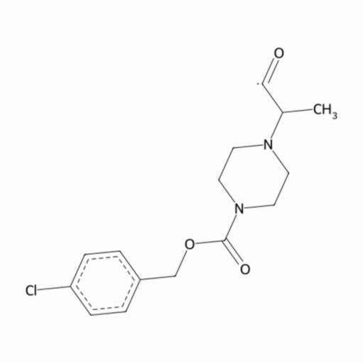 CC([C]=O)N1CCN(C(=O)OCc2ccc(Cl)cc2)CC1